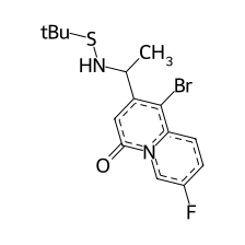 CC(NSC(C)(C)C)c1cc(=O)n2cc(F)ccc2c1Br